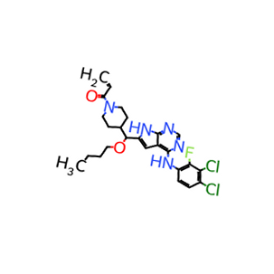 C=CC(=O)N1CCC(C(OCCCC)c2cc3c(Nc4ccc(Cl)c(Cl)c4F)ncnc3[nH]2)CC1